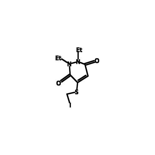 CCn1c(=O)cc(SCI)c(=O)n1CC